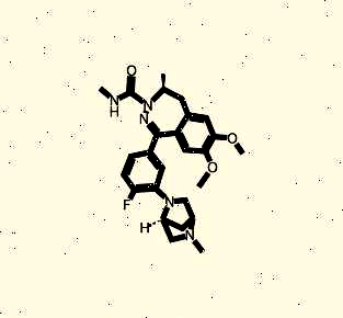 CNC(=O)N1N=C(c2ccc(F)c(N3CC4C[C@H]3CN4C)c2)c2cc(OC)c(OC)cc2C[C@@H]1C